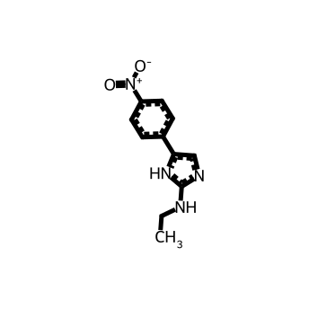 CCNc1ncc(-c2ccc([N+](=O)[O-])cc2)[nH]1